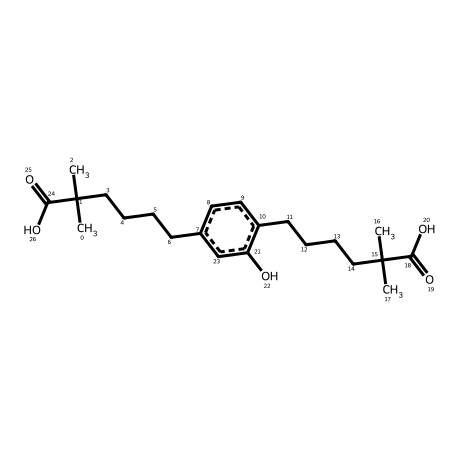 CC(C)(CCCCc1ccc(CCCCC(C)(C)C(=O)O)c(O)c1)C(=O)O